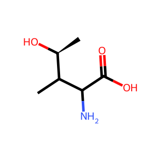 CC(C(N)C(=O)O)[C@H](C)O